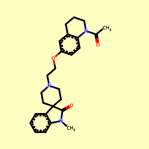 CC(=O)N1CCCc2cc(OCCN3CCC4(CC3)C(=O)N(C)c3ccccc34)ccc21